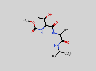 CCC(C)C(NC(=O)C(NC(=O)C(NC(=O)OC(C)(C)C)C(C)O)C(C)C)C(=O)O